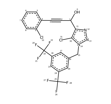 OC(C#Cc1ccccc1Cl)c1nnn(Cc2cc(C(F)(F)F)cc(C(F)(F)F)c2)c1Cl